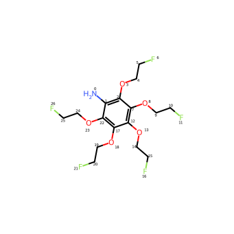 Nc1c(OCCF)c(OCCF)c(OCCF)c(OCCF)c1OCCF